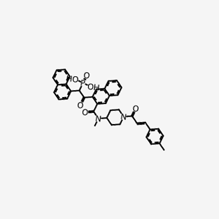 Cc1ccc(/C=C/C(=O)N2CCC(N(C)C(=O)c3cc4ccccc4cc3C(=O)C(c3cccc4ccccc34)P(=O)(O)O)CC2)cc1